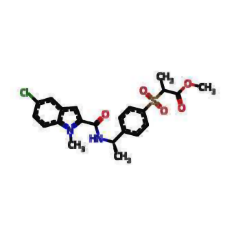 COC(=O)C(C)S(=O)(=O)c1ccc([C@@H](C)NC(=O)c2cc3cc(Cl)ccc3n2C)cc1